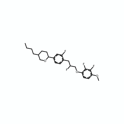 CCCCC1CCC(c2ccc(CC(F)COc3ccc(OC)c(F)c3F)c(F)c2)OC1